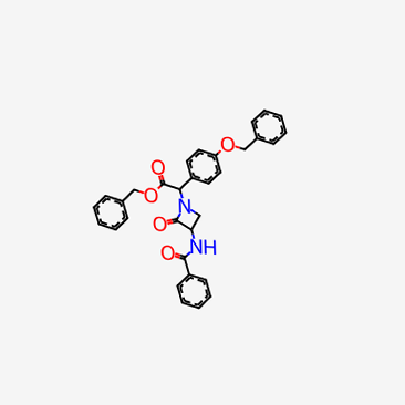 O=C(NC1CN(C(C(=O)OCc2ccccc2)c2ccc(OCc3ccccc3)cc2)C1=O)c1ccccc1